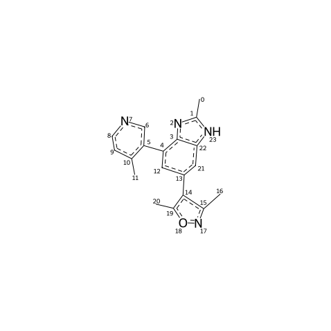 Cc1nc2c(-c3cnccc3C)cc(-c3c(C)noc3C)cc2[nH]1